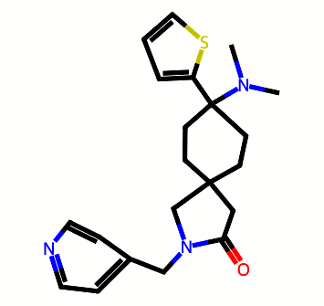 CN(C)C1(c2cccs2)CCC2(CC1)CC(=O)N(Cc1ccncc1)C2